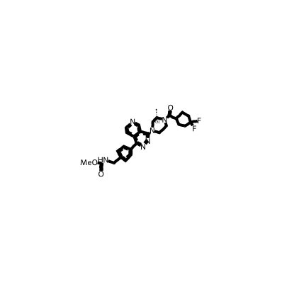 COC(=O)NCc1ccc(-c2nnc(N3CCN(C(=O)C4CCC(F)(F)CC4)[C@@H](C)C3)c3cnccc23)cc1